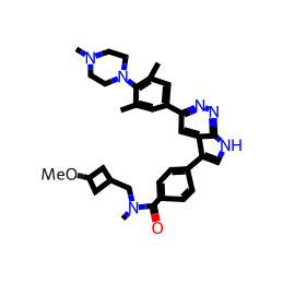 COC1CC(CN(C)C(=O)c2ccc(-c3c[nH]c4nnc(-c5cc(C)c(N6CCN(C)CC6)c(C)c5)cc34)cc2)C1